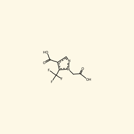 O=C(O)Cn1ncc(C(=O)O)c1C(F)(F)F